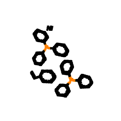 C=Cc1ccccc1.[Ni].c1ccc(P(c2ccccc2)c2ccccc2)cc1.c1ccc(P(c2ccccc2)c2ccccc2)cc1